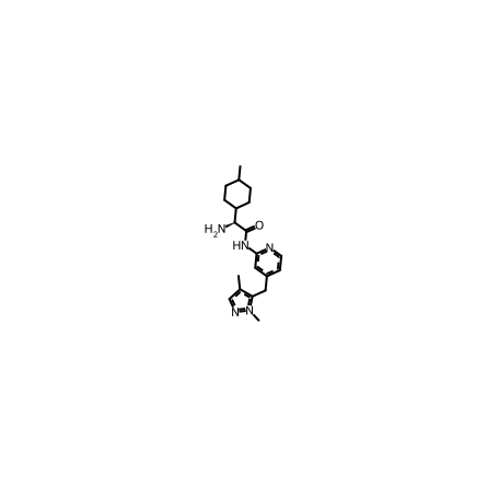 Cc1cnn(C)c1Cc1ccnc(NC(=O)[C@@H](N)C2CCC(C)CC2)c1